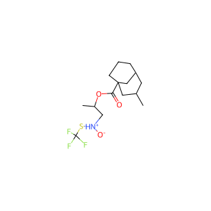 CC1CC2CCCC(C(=O)OC(C)C[NH+]([O-])SC(F)(F)F)(C1)C2